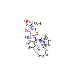 O=C(N[C@@H](CO)C(=O)O)C1Nc2ccccc2N([C@@H]2C[C@@H]3CC[C@](C4CCCCCCC4)(C2)N3)C1=O